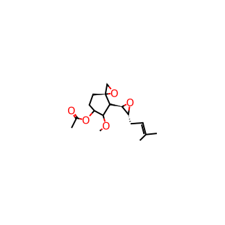 COC1C(OC(C)=O)CC[C@]2(CO2)C1[C@H]1O[C@@H]1CC=C(C)C